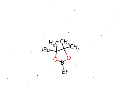 CCB1OC(C)(C)C(C)(C(C)CC)O1